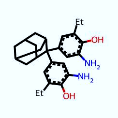 CCc1cc(C2(c3cc(N)c(O)c(CC)c3)C3CC4CC(C3)CC2C4)cc(N)c1O